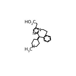 CN1CCC(=C2c3ccccc3CCn3c(CC(=O)O)cnc32)CC1